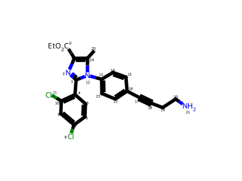 CCOC(=O)c1nc(-c2ccc(Cl)cc2Cl)n(-c2ccc(C#CCCN)cc2)c1C